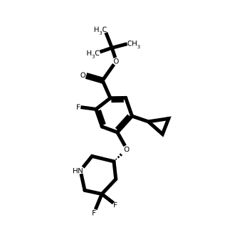 CC(C)(C)OC(=O)c1cc(C2CC2)c(O[C@H]2CNCC(F)(F)C2)cc1F